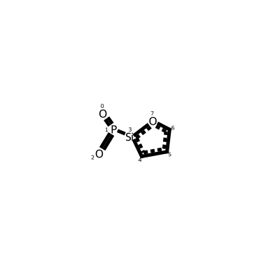 O=P(=O)[si]1ccco1